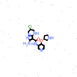 Nc1nn2c(c1C(=O)Nc1cnccc1O[C@@H]1CCNC1)NCC(Cl)C2